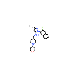 Cc1cc(NCC2CCN(C3CCOCC3)CC2)n(-c2cc3ccccc3cc2F)n1